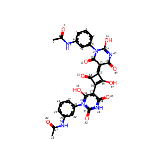 CC(=O)Nc1cccc(N2C(=O)/C(=C3\C(=O)C(c4c(O)n(-c5cccc(NC(C)=O)c5)c(=O)[nH]c4=O)=C3O)C(=O)N=C2O)c1